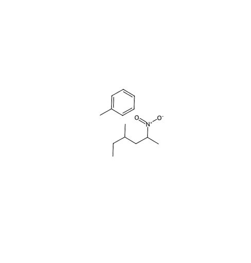 CCC(C)CC(C)[N+](=O)[O-].Cc1ccccc1